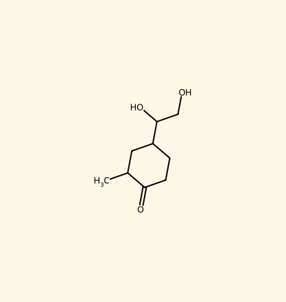 CC1CC(C(O)CO)CCC1=O